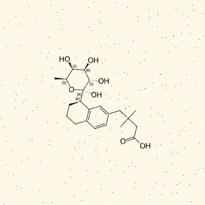 C[C@@H]1O[C@](O)([C@@H]2CCCc3ccc(CC(C)(C)CC(=O)O)cc32)[C@@H](O)[C@H](O)[C@@H]1O